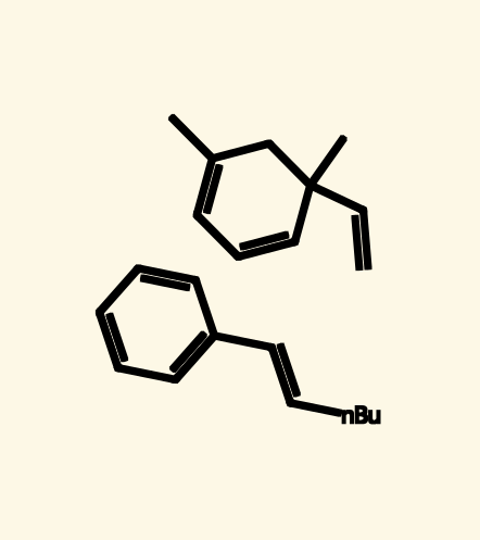 C=CC1(C)C=CC=C(C)C1.CCCCC=Cc1ccccc1